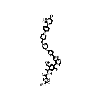 CC(NC(=O)c1noc(C(C)(C)C)n1)c1cc(F)c(-c2ncnc3[nH]c(-c4ccc(N5CCN(CC6CCN(c7ccc(N8CCC(=O)NC8=O)cc7)CC6)CC5)cn4)cc23)cc1CO